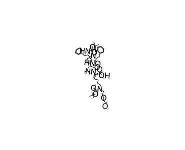 COCCOCCN(CCCCC(NC(=O)C(CC(C)C)NC(=O)C(Cc1ccccc1)NC(=O)C(Cc1ccccc1)NC(=O)OC(C)(C)C)C(=O)O)C(=O)OC(C)(C)C